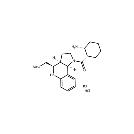 COC[C@@H]1Nc2ccccc2[C@H]2[C@@H]1CCN2C(=O)[C@H]1CCCC[C@H]1N.Cl.Cl